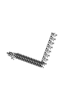 CC(=O)O.CC(=O)O.CC(=O)O.CC(=O)O.CC(=O)O.CC(=O)O.CC(=O)O.CC(=O)O.CC(=O)O.CC(=O)O.CC(=O)O.CC(=O)O.CC(=O)O.CC(=O)O.CC(=O)O.CC(=O)O.CC(=O)O.CC(=O)O.CC(=O)O.CC(=O)O.CC(=O)O.CC(=O)O.CC(=O)O.CC(=O)O.CC(=O)O.CC(=O)[O-].CC(=O)[O-].[Na+].[Na+]